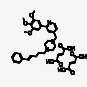 COc1cc(-c2cc(CN3CCN(CCC/C=C/c4ccccc4)CC3)ccn2)cc(OC)c1OC.O=C(O)/C=C/C(=O)O.O=C(O)/C=C/C(=O)O